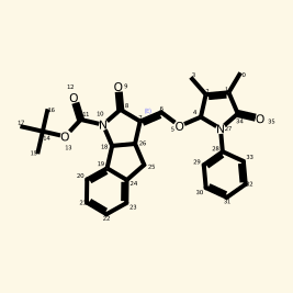 CC1=C(C)C(O/C=C2/C(=O)N(C(=O)OC(C)(C)C)C3c4ccccc4CC23)N(c2ccccc2)C1=O